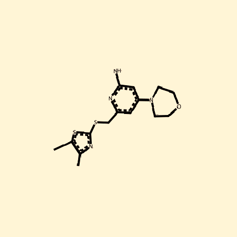 Cc1nc(SCc2cc(N3CCOCC3)cc([NH])n2)sc1C